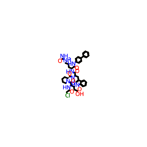 NC(=O)NCCCC(NC(=O)C(Cc1c[nH]c2ccccc12)NC(=O)[C@@H]1CCCCN1C(=O)C(CCC(=O)O)NC(=O)CCl)C(=O)Nc1ccc(-c2ccccc2)cc1